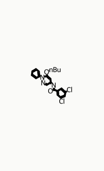 CCCCOc1cc(=NC(=O)c2cc(Cl)cc(Cl)c2)cnn1-c1ccccc1